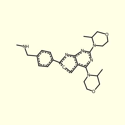 CNCc1ccc(-c2ccc3c(N4CCOCC4C)nc(N4CCOCC4C)nc3n2)cc1